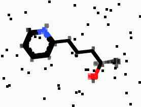 CC[C@H](O)CCCc1ccccn1